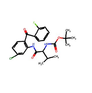 CC(C)C(NC(=O)OC(C)(C)C)C(=O)Nc1cc(Cl)ccc1C(=O)c1ccccc1F